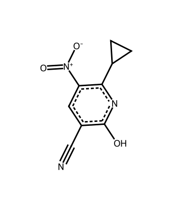 N#Cc1cc([N+](=O)[O-])c(C2CC2)nc1O